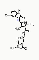 Cc1[nH]c(/C=C2\C(=O)Nc3ccc(Cl)cc32)c(C)c1C(=O)NC[C@H](O)CN1C(=O)CN(C)C1=O